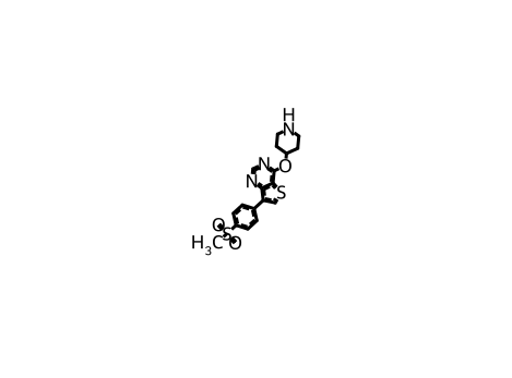 CS(=O)(=O)c1ccc(-c2csc3c(OC4CCNCC4)ncnc23)cc1